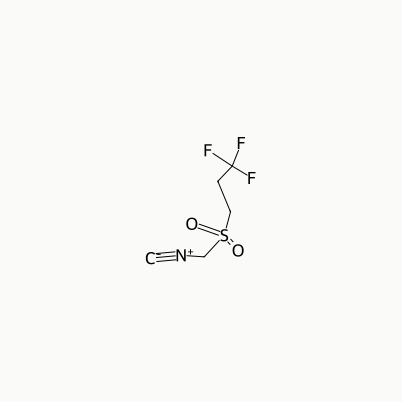 [C-]#[N+]CS(=O)(=O)CCC(F)(F)F